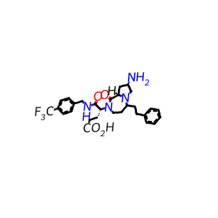 N[C@@H]1C[C@H]2C(=O)N([C@H](CCC(=O)O)C(=O)NCc3ccc(C(F)(F)F)cc3)CCC(CCc3ccccc3)N2C1